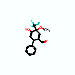 COC1(C(F)(F)F)C=C(C=O)C(c2ccccc2)C=C1O